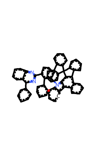 c1ccc(-c2c(-c3nc(-c4ccccc4)c4ccccc4n3)cccc2-n2c3ccccc3c3c4ccccc4c4c(c32)C2(c3ccccc3-c3ccccc32)c2ccccc2-4)cc1